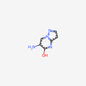 Nc1cn2nccc2nc1O